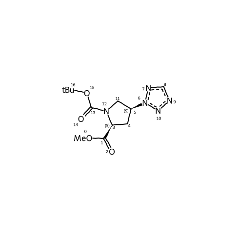 COC(=O)[C@@H]1C[C@H](n2ncnn2)CN1C(=O)OC(C)(C)C